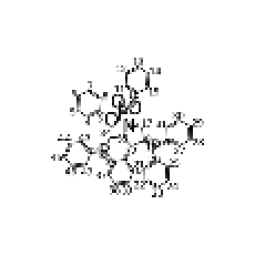 O=P(Oc1ccccc1)(Oc1ccccc1)N1C[C@@H](P(c2ccccc2)c2ccccc2)C[C@H]1CP(c1ccccc1)c1ccccc1